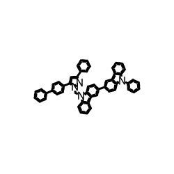 c1ccc(-c2ccc(-c3cc(-c4ccccc4)nn3Cn3c4ccccc4c4cc(-c5ccc6c(c5)c5ccccc5n6-c5ccccc5)ccc43)cc2)cc1